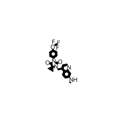 CNc1ccc2c(CN3C(=O)N(c4ccc(OC(F)(F)F)cc4)C(=O)C34CC4)ccnc2c1